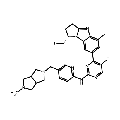 CN1CC2CN(Cc3ccc(Nc4ncc(F)c(-c5cc(F)c6nc7n(c6c5)[C@H](CF)CC7)n4)nc3)CC2C1